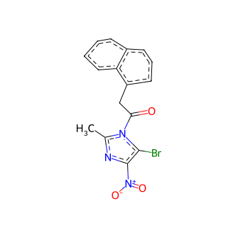 Cc1nc([N+](=O)[O-])c(Br)n1C(=O)Cc1cccc2ccccc12